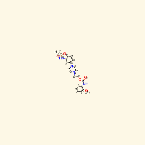 CCOc1ccccc1NC(=O)OCCN1CCN(c2cccc(NS(C)(=O)=O)c2)CC1